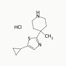 CC1(c2ncc(C3CC3)s2)CCNCC1.Cl